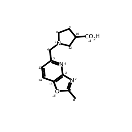 Cc1nc2nc(CN3CCC(C(=O)O)C3)ccc2o1